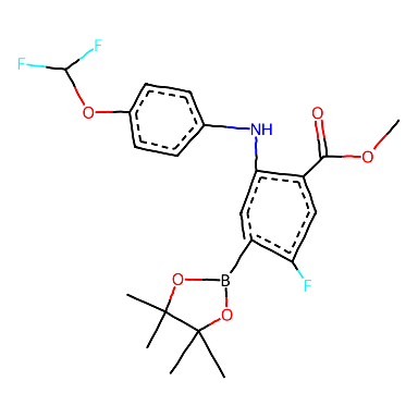 COC(=O)c1cc(F)c(B2OC(C)(C)C(C)(C)O2)cc1Nc1ccc(OC(F)F)cc1